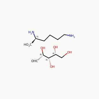 NCCCC[C@H](N)C(=O)O.O=C[C@H](O)[C@@H](O)[C@H](O)CO